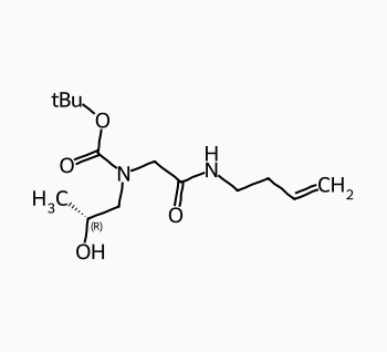 C=CCCNC(=O)CN(C[C@@H](C)O)C(=O)OC(C)(C)C